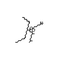 CCCCC/C=C\CCCC(CCC/C=C\CCCCC)C(CCC(C)CCCC(C)C)OC(=O)CCCCN(C)C